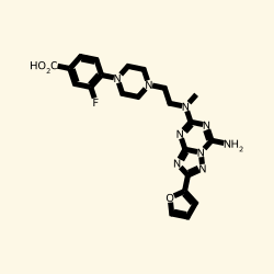 CN(CCN1CCN(c2ccc(C(=O)O)cc2F)CC1)c1nc(N)n2nc(-c3ccco3)nc2n1